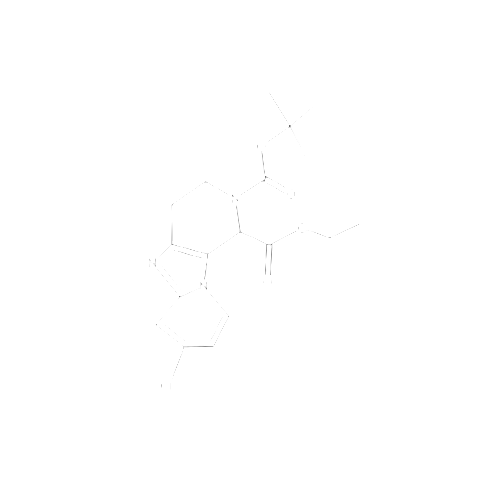 CCOC(=O)C1c2c(nc3cc(Cl)ccn23)CCN1C(=O)OC(C)(C)C